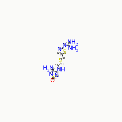 NC(N)=Nc1ncc(CSCCNc2n[s+]([O-])nc2N)s1